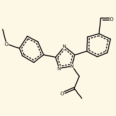 COc1ccc(-c2nc(-c3cccc(C=O)c3)n(CC(C)=O)n2)cc1